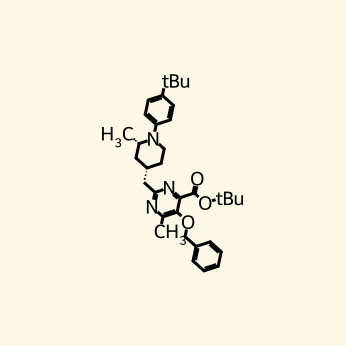 Cc1nc(C[C@H]2CCN(c3ccc(C(C)(C)C)cc3)[C@@H](C)C2)nc(C(=O)OC(C)(C)C)c1OCc1ccccc1